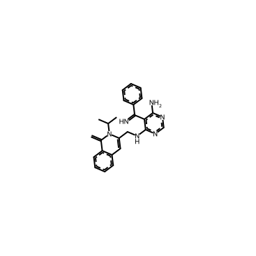 C=C1c2ccccc2C=C(CNc2ncnc(N)c2C(=N)c2ccccc2)N1C(C)C